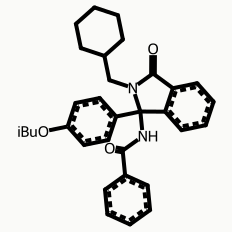 CC(C)COc1ccc(C2(NC(=O)c3ccccc3)c3ccccc3C(=O)N2CC2CCCCC2)cc1